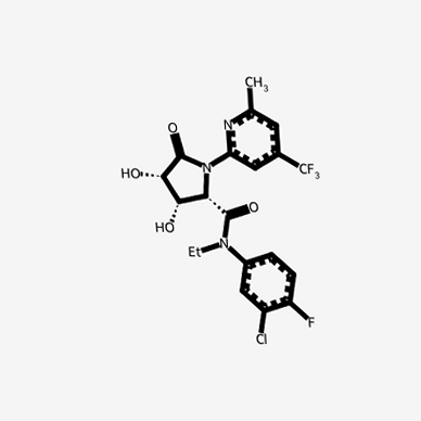 CCN(C(=O)[C@@H]1[C@H](O)[C@H](O)C(=O)N1c1cc(C(F)(F)F)cc(C)n1)c1ccc(F)c(Cl)c1